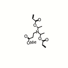 C=CC(=O)OC(C)N(CCC(=O)OC)C(C)OC(=O)C=C